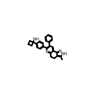 Cc1[nH]nc2c1CCc1nc(-c3ccc(C4(N)CCC4)cc3)c(-c3ccccc3)cc1-2